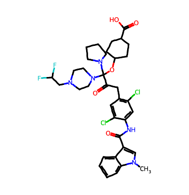 Cn1cc(C(=O)Nc2cc(Cl)c(CC(=O)C(OC3CCC(C(=O)O)CC3)(N3CCCC3)N3CCN(CC(F)F)CC3)cc2Cl)c2ccccc21